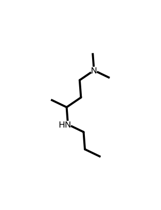 CCCNC(C)CCN(C)C